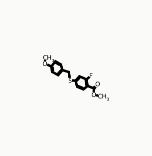 COC(=O)c1ccc(SCc2ccc(OC)cc2)cc1F